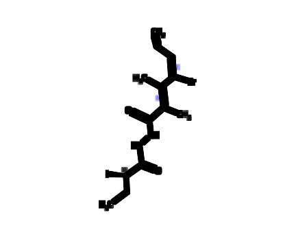 C=C/C=C(Br)\C(C)=C(/C)C(=O)NNC(=O)[C@H](I)CC